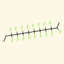 [CH2]CC(F)(F)C(F)(F)C(F)(F)C(F)(F)C(F)(F)C(F)(F)C(F)(F)C(F)(F)C(C)F